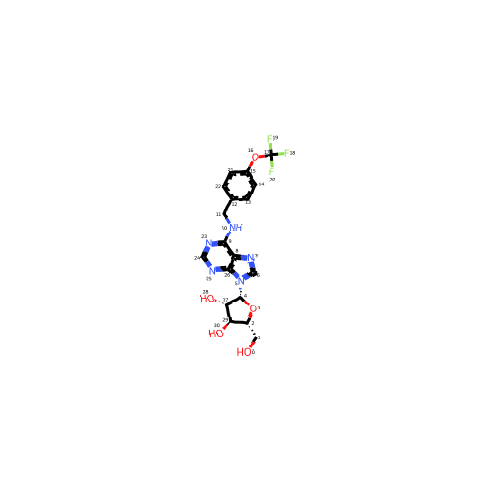 OC[C@H]1O[C@@H](n2cnc3c(NCc4ccc(OC(F)(F)F)cc4)ncnc32)[C@@H](O)[C@@H]1O